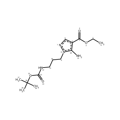 CCOC(=O)c1cnn(CCCNC(=O)OC(C)(C)C)c1N